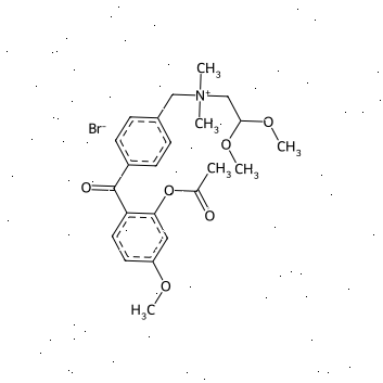 COc1ccc(C(=O)c2ccc(C[N+](C)(C)CC(OC)OC)cc2)c(OC(C)=O)c1.[Br-]